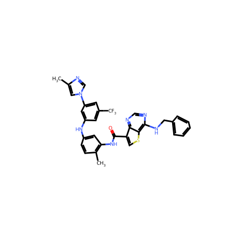 Cc1cn(-c2cc(Nc3ccc(C)c(NC(=O)c4csc5c(NCc6ccccc6)ncnc45)c3)cc(C(F)(F)F)c2)cn1